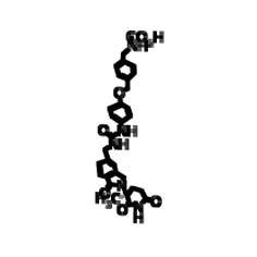 C[C@]1(N2Cc3cc(CNC(=O)Nc4ccc(OCc5ccc(CNC(=O)O)cc5)cc4)ccc3C2=O)CCC(=O)NC1=O